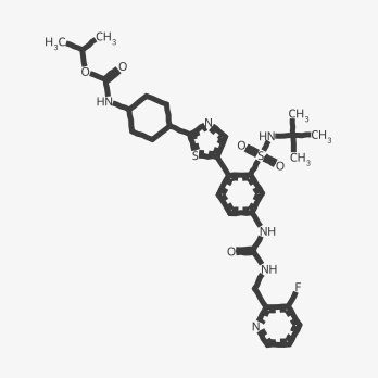 CC(C)OC(=O)NC1CCC(c2ncc(-c3ccc(NC(=O)NCc4ncccc4F)cc3S(=O)(=O)NC(C)(C)C)s2)CC1